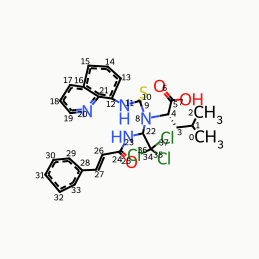 CC(C)C[C@@H](C(=O)O)N(C(=S)Nc1cccc2cccnc12)C(NC(=O)/C=C/c1ccccc1)C(Cl)(Cl)Cl